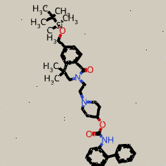 CC1(C)CN(CCN2CCC(OC(=O)Nc3ccccc3-c3ccccc3)CC2)C(=O)c2ccc(CO[Si](C)(C)C(C)(C)C)cc21